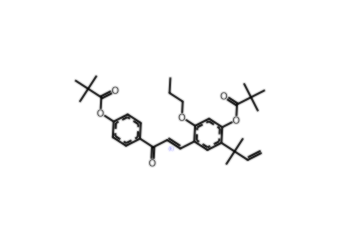 C=CC(C)(C)c1cc(/C=C/C(=O)c2ccc(OC(=O)C(C)(C)C)cc2)c(OCCC)cc1OC(=O)C(C)(C)C